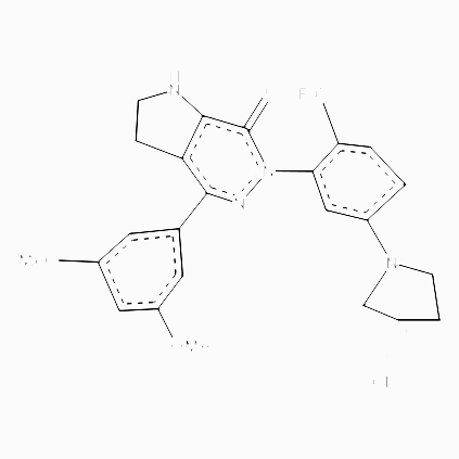 COc1cc(OC)cc(-c2nn(-c3cc(N4CC[C@H](O)C4)ccc3C(F)(F)F)c(=O)c3c2CCN3)c1